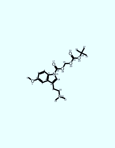 COc1ccc2c(c1)c(CCN(C)C)cn2C(=O)OCOC(=O)OC(C)(C)C